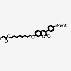 CCCCCc1ccc(-c2cc3ccc(OCCC/C=C/CCCOC(=O)CC(C)C)cc3oc2=O)cc1